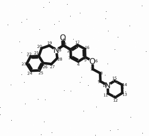 O=C(c1ccc(OCCCN2CCCCC2)cc1)N1CCc2ccccc2CC1